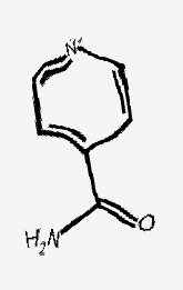 NC(=O)C1=CC=[N+]C=C1